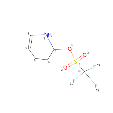 O=S(=O)(OC1CCC=CN1)C(F)(F)F